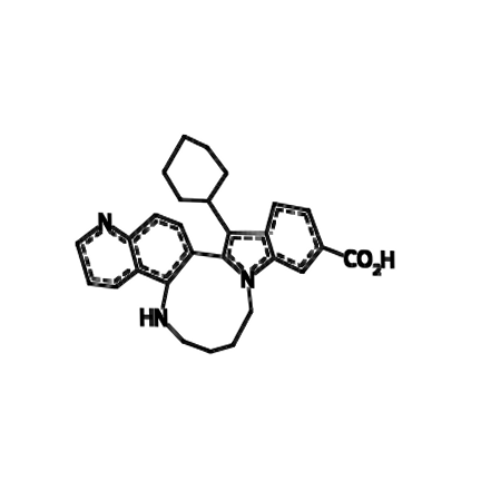 O=C(O)c1ccc2c(C3CCCCC3)c3n(c2c1)CCCCNc1c-3ccc2ncccc12